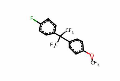 Fc1ccc(C(c2ccc(OC(F)(F)F)cc2)(C(F)(F)F)C(F)(F)F)cc1